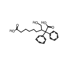 O=C(O)CCCCCC(CO)C(C(=O)O)(c1ccccc1)c1ccccc1